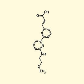 COCCNc1cccc(-c2cccc(C=CC(=O)O)c2)n1